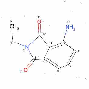 CCN1C(=O)c2cccc(N)c2C1=O